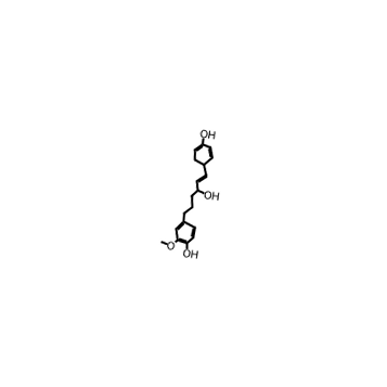 COc1cc(CCCC(O)C=CC2C=CC(O)=CC2)ccc1O